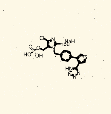 CCCCc1nc(Cl)c(COP(=O)(O)O)n1Cc1ccc(-c2cscc2-c2nnn[nH]2)cc1.[NaH]